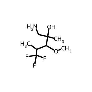 COC(C(C)C(F)(F)F)C(C)(O)CN